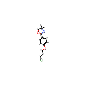 CC1(C)COC(c2ccc(OCCCCl)cc2)=N1